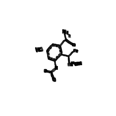 CCCCCC(CC)c1c(N=S(=O)=O)cccc1C(N)=O.Cl